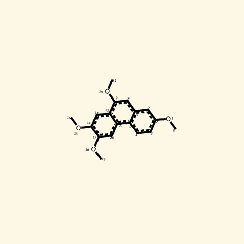 COc1ccc2c(c1)cc(OC)c1cc(OC)c(OC)cc12